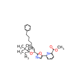 COC(=O)c1cccc(-c2cnc(C(CCCCCCc3ccccc3)O[Si](C)(C)C(C)(C)C)o2)n1